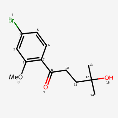 COc1cc(Br)ccc1C(=O)CCC(C)(C)O